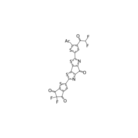 CC(=O)c1sc(-c2nc3c(s2)-c2sc(-c4cc5c(s4)C(=O)C(F)(F)C5=O)nc2C3=O)cc1C(=O)C(F)F